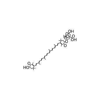 CC1=C(/C=C/C(C)=C/C=C/C(C)=C/C=C/C=C(C)/C=C/C=C(C)/C=C/C2=C(C)C(=O)C(OC(=O)CC(O)(CC(=O)O)C(=O)O)CC2(C)C)C(C)(C)CC(O)C1=O